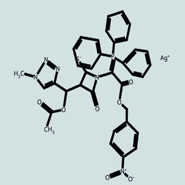 CC(=O)OC(c1cn(C)nn1)C1C(=O)N(C(C(=O)OCc2ccc([N+](=O)[O-])cc2)=P(c2ccccc2)(c2ccccc2)c2ccccc2)C1[S-].[Ag+]